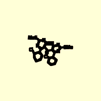 CSc1nc(O)c(C(=O)c2c(O)nc(SC)nc2-c2ccccc2Cl)c(-c2ccccc2Cl)n1